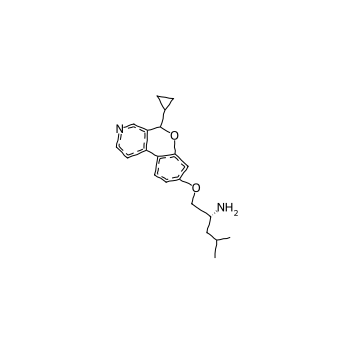 CC(C)C[C@@H](N)COc1ccc2c(c1)OC(C1CC1)c1cnccc1-2